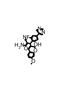 COc1ccc2c(c1)OC(O)C1=C2OC(N)=C(C#N)C1c1ccc(-c2cncnc2)cc1F